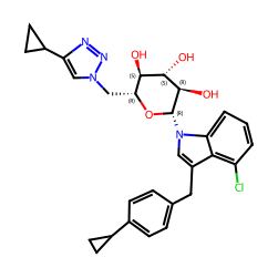 O[C@@H]1[C@@H](O)[C@H](n2cc(Cc3ccc(C4CC4)cc3)c3c(Cl)cccc32)O[C@H](Cn2cc(C3CC3)nn2)[C@H]1O